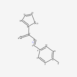 Cc1ccc(/C=C/C(=O)c2cccs2)cc1